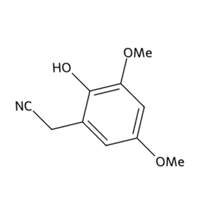 COc1cc(CC#N)c(O)c(OC)c1